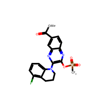 COC(=O)c1ccc2nc(OS(=O)(=O)C(F)(F)F)c(N3CCCc4c(F)cccc43)nc2c1